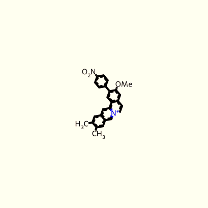 COc1cc2cc[n+]3cc4cc(C)c(C)cc4cc3c2cc1-c1ccc([N+](=O)[O-])cc1